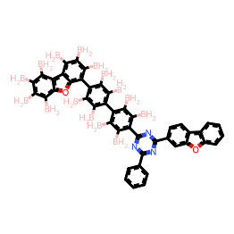 Bc1c(B)c(-c2c(B)c(B)c(-c3c(B)c(B)c(B)c4c3oc3c(B)c(B)c(B)c(B)c34)c(B)c2B)c(B)c(B)c1-c1nc(-c2ccccc2)nc(-c2ccc3c(c2)oc2ccccc23)n1